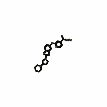 CNC(=O)c1ccnc(Oc2ccc3nc(N4CCC(N5CCCCC5)C4)sc3c2)c1